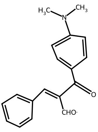 CN(C)c1ccc(C(=O)C([C]=O)=Cc2ccccc2)cc1